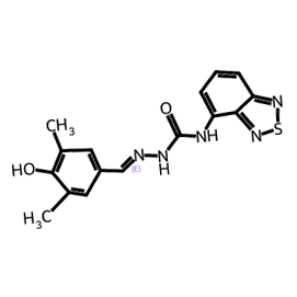 Cc1cc(/C=N/NC(=O)Nc2cccc3nsnc23)cc(C)c1O